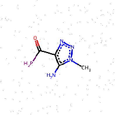 Cn1nnc(C(=O)P)c1N